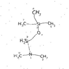 CN(C)[SiH2]O[Si](C)(C)C